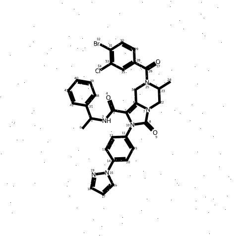 CC(NC(=O)c1c2n(c(=O)n1-c1ccc(-n3cccn3)cc1)CC(C)N(C(=O)c1ccc(Br)c(Cl)c1)C2)c1ccccc1